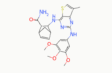 COc1cc(Nc2nc(NC3C4C=CC(C4)C3C(N)=O)c3scc(C)c3n2)cc(OC)c1OC